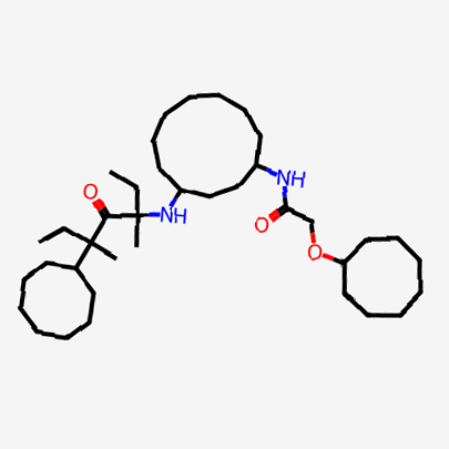 CCC(C)(NC1CCCCCCCC(NC(=O)COC2CCCCCCC2)CC1)C(=O)C(C)(CC)C1CCCCCCC1